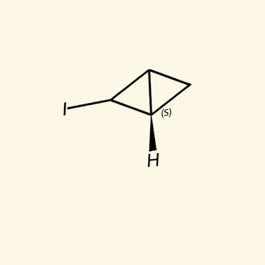 IC1C2C[C@H]12